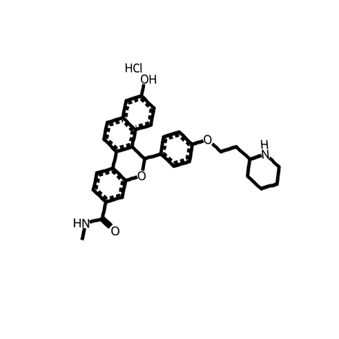 CNC(=O)c1ccc2c(c1)OC(c1ccc(OCCC3CCCCN3)cc1)c1c-2ccc2cc(O)ccc12.Cl